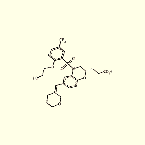 O=C(O)CC[C@H]1CN(S(=O)(=O)c2cc(C(F)(F)F)cnc2OCCO)c2cc(/C=C3/CCCOC3)ccc2O1